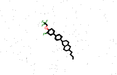 CCCCC1CCC2CC(c3ccc(-c4ccc(OCC(F)(F)F)c(F)c4)cc3)CCC2C1